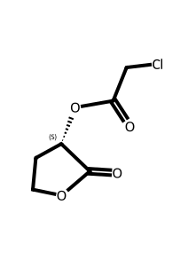 O=C(CCl)O[C@H]1CCOC1=O